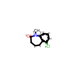 CN1C(=O)CCCc2c(Cl)cccc21